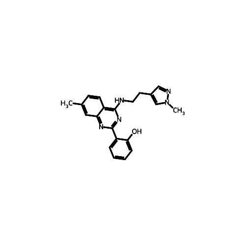 Cc1ccc2c(NCCc3cnn(C)c3)nc(-c3ccccc3O)nc2c1